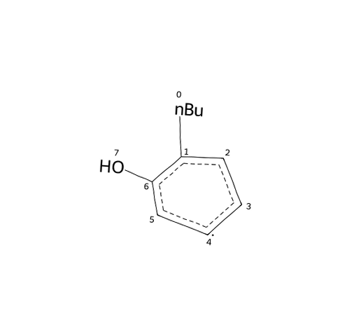 CCCCc1cc[c]cc1O